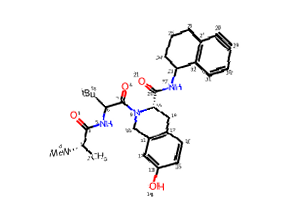 CN[C@@H](C)C(=O)NC(C(=O)N1Cc2cc(O)ccc2C[C@H]1C(=O)NC1CCCc2c#cccc21)C(C)(C)C